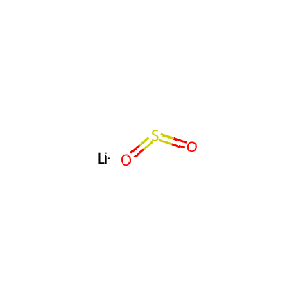 O=S=O.[Li]